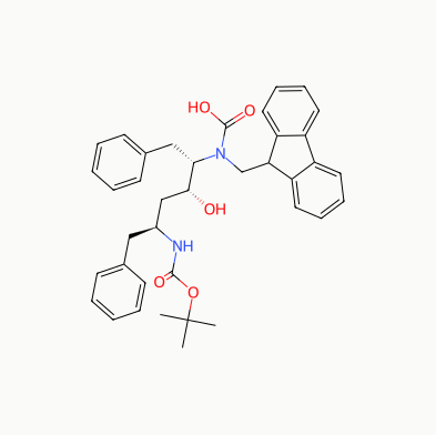 CC(C)(C)OC(=O)N[C@@H](Cc1ccccc1)C[C@@H](O)[C@H](Cc1ccccc1)N(CC1c2ccccc2-c2ccccc21)C(=O)O